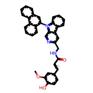 COc1cc(/C=C/C(=O)NCc2cc3c4ccccc4n(-c4cc5ccccc5c5ccccc45)c3cn2)ccc1O